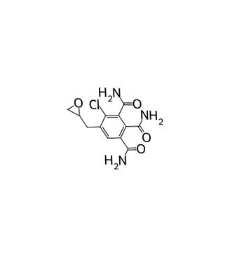 NC(=O)c1cc(CC2CO2)c(Cl)c(C(N)=O)c1C(N)=O